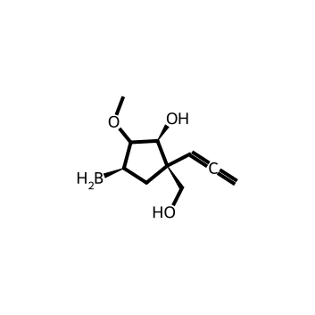 B[C@@H]1C[C@](C=C=C)(CO)[C@H](O)C1OC